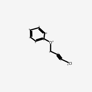 ClC#CCOc1c[c]ccc1